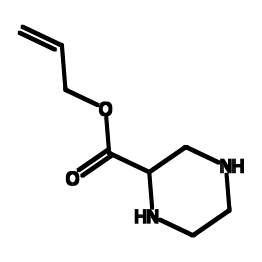 C=CCOC(=O)C1CNCCN1